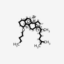 CCCCCO[C@H]1CCCC2=C[C@H](Br)[C@H]3[C@@H]4CC[C@H]([C@H](C)CCCC(C)C)[C@@]4(C)CC[C@@H]3[C@]21C